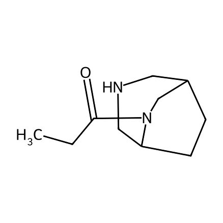 CCC(=O)N1CC2CCC1CNC2